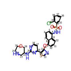 O=S(=O)(Nc1cccc2c(Oc3ncsc3-c3ccnc(NC4CNCCOC4)n3)cccc12)c1ccccc1Cl